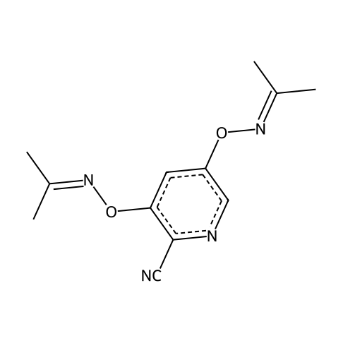 CC(C)=NOc1cnc(C#N)c(ON=C(C)C)c1